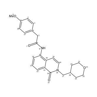 COc1ccc(CC(=O)Nc2cccc3c(=O)n(CC4CCOCC4)ccc23)cc1